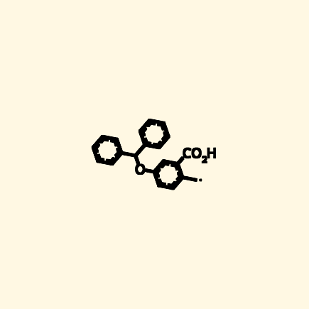 [CH2]c1ccc(OC(c2ccccc2)c2ccccc2)cc1C(=O)O